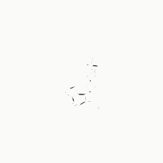 CC(C)CS(=O)(=O)N1CC2(C1)CC1(C2)OB(O)c2cnc3[nH]ccc3c21